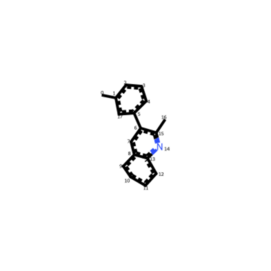 Cc1cccc(-c2cc3ccccc3nc2C)c1